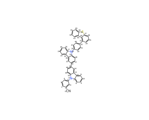 N#Cc1cccc(-n2c3ccccc3c3cc(-c4ccc5c(c4)c4ccccc4n5-c4ccc(-c5cccc6sc7ccccc7c56)cc4)ccc32)c1